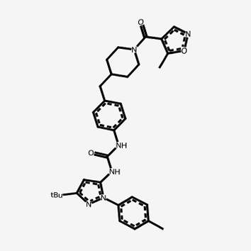 Cc1ccc(-n2nc(C(C)(C)C)cc2NC(=O)Nc2ccc(CC3CCN(C(=O)c4cnoc4C)CC3)cc2)cc1